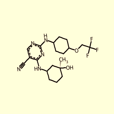 C[C@]1(O)CCCC(Nc2nc(NC3CCC(OCC(F)(F)F)CC3)ncc2C#N)C1